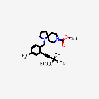 CCOC(=O)C(C)(C)C#Cc1cc(C(F)(F)F)ccc1CN1CCCC12CCN(C(=O)OC(C)(C)C)CC2